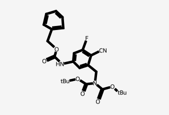 CC(C)(C)OC(=O)N(Cc1cc(NC(=O)OCc2ccccc2)cc(F)c1C#N)C(=O)OC(C)(C)C